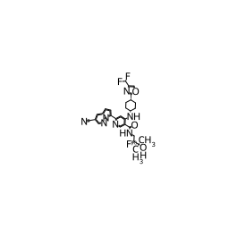 CC(C)(O)[C@H](F)CNC(=O)c1cnc(-c2ccc3cc(C#N)cnn23)cc1N[C@H]1CC[C@H](c2nc(C(F)F)co2)CC1